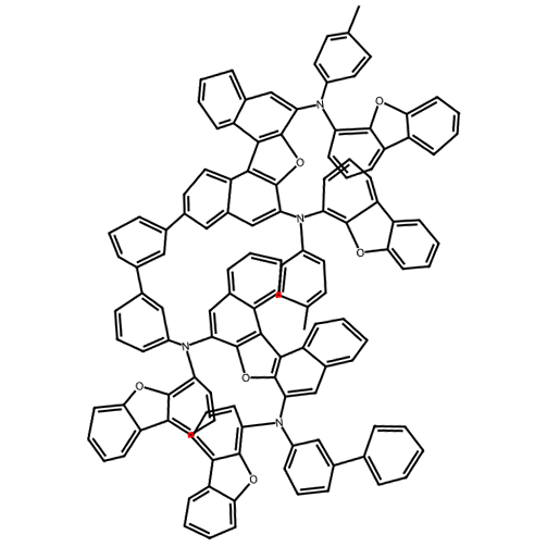 Cc1ccc(N(c2cccc3c2oc2ccccc23)c2cc3ccccc3c3c2oc2c(N(c4ccc(C)cc4)c4cccc5c4oc4ccccc45)cc4cc(-c5cccc(-c6cccc(N(c7cccc8c7oc7ccccc78)c7cc8ccccc8c8c7oc7c(N(c9cccc(-c%10ccccc%10)c9)c9cccc%10c9oc9ccccc9%10)cc9ccccc9c78)c6)c5)ccc4c23)cc1